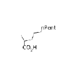 CCCCCCCCC(C)C(=O)O